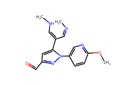 C/N=C\C(=C/NC)c1cc(C=O)nn1-c1ccc(OC)nc1